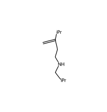 C=C(CCNCC(C)C)C(C)C